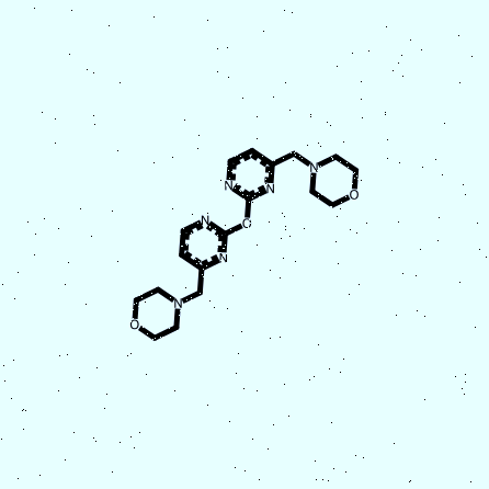 c1cc(CN2CCOCC2)nc(Oc2nccc(CN3CCOCC3)n2)n1